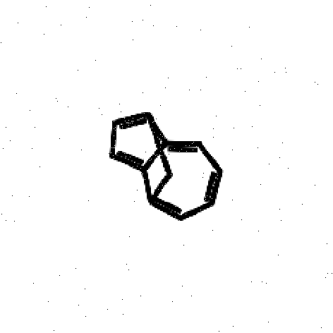 c1ccc2c3ccc-2c(c1)C3